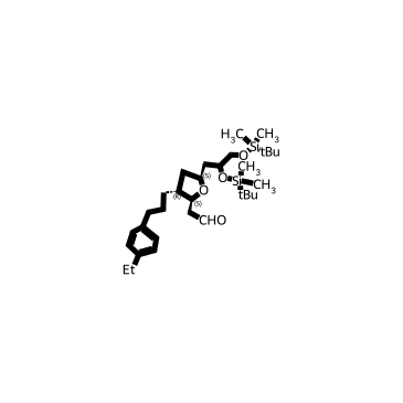 CCc1ccc(CCC[C@@H]2C[C@@H](CC(CO[Si](C)(C)C(C)(C)C)O[Si](C)(C)C(C)(C)C)O[C@H]2CC=O)cc1